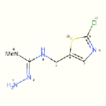 CNC(=NN)NCc1cnc(Cl)s1